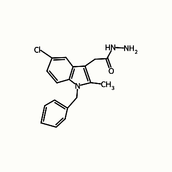 Cc1c(CC(=O)NN)c2cc(Cl)ccc2n1Cc1ccccc1